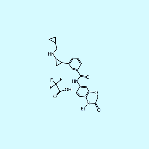 CCN1C(=O)COc2cc(NC(=O)c3cccc(C4CC4NCC4CC4)c3)ccc21.O=C(O)C(F)(F)F